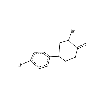 O=C1CCC(c2ccc(Cl)cc2)CC1Br